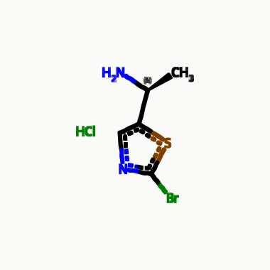 C[C@H](N)c1cnc(Br)s1.Cl